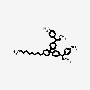 CCCCCCCCCC1CCC(c2ccc(C(CC)c3ccc(N)cc3)cc2)(c2ccc(C(CC)c3ccc(N)cc3)cc2)CC1